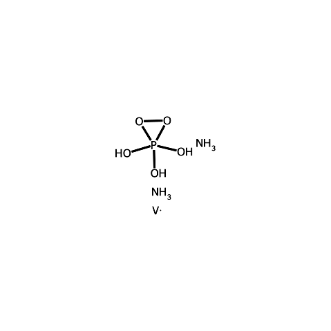 N.N.OP1(O)(O)OO1.[V]